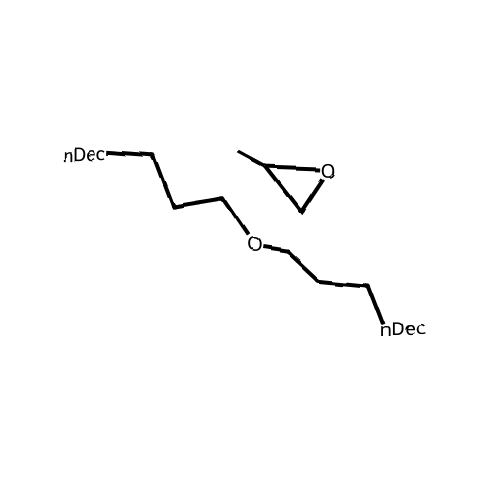 CC1CO1.CCCCCCCCCCCCCOCCCCCCCCCCCCC